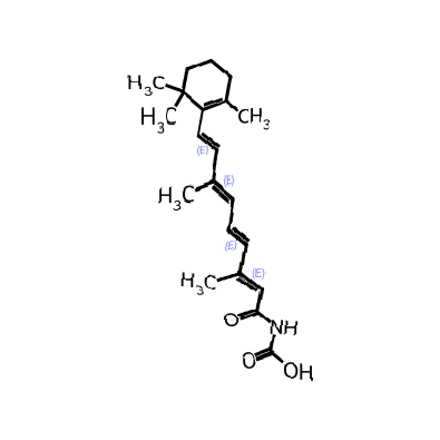 CC1=C(/C=C/C(C)=C/C=C/C(C)=C/C(=O)NC(=O)O)C(C)(C)CCC1